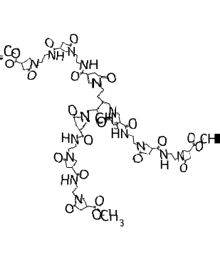 COC(=O)C1CC(=O)N(CCNC(=O)C2CC(=O)N(CCNC(=O)C3CC(=O)N(CCC(CN4CC(C(=O)NCCN5CC(C(=O)NCCN6CC(C(=O)OC)CC6=O)CC5=O)CC4=O)C(C)CN4CC(C(=O)NCCN5CC(C(=O)NCCN6CC(C(=O)OC)CC6=O)CC5=O)CC4=O)C3)C2)C1